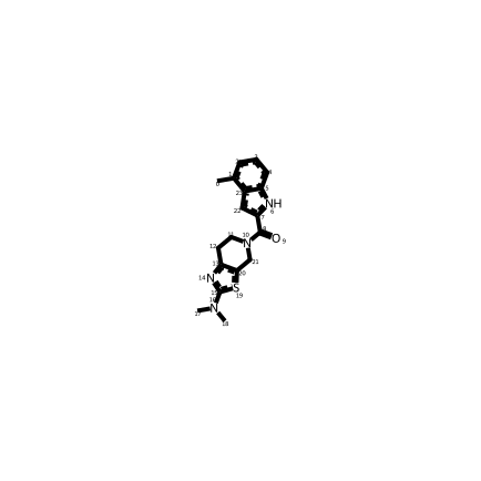 Cc1cccc2[nH]c(C(=O)N3CCc4nc(N(C)C)sc4C3)cc12